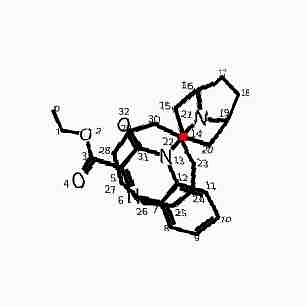 CCOC(=O)c1nc2ccccc2n(C2CC3CCC(C2)N3C2CCCCCCCC2)c1=O